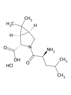 CC(C)C[C@H](N)C(=O)N1C[C@H]2[C@@H]([C@H]1C(=O)O)C2(C)C.Cl